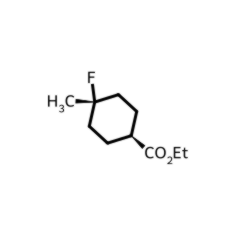 CCOC(=O)[C@H]1CC[C@](C)(F)CC1